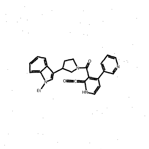 CCn1cc(C2CCN(C(=O)C3=C(c4cccnc4)C=CNC3=C=O)C2)c2ccccc21